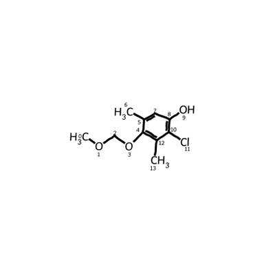 COCOc1c(C)cc(O)c(Cl)c1C